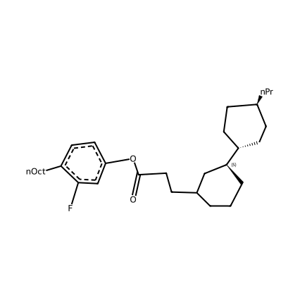 CCCCCCCCc1ccc(OC(=O)CCC2CCC[C@H]([C@H]3CC[C@H](CCC)CC3)C2)cc1F